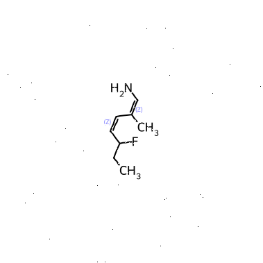 CCC(F)/C=C\C(C)=C/N